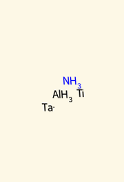 N.[AlH3].[Ta].[Ti]